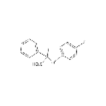 CC(Oc1ccc(F)cc1)(C(=O)O)c1ccccc1